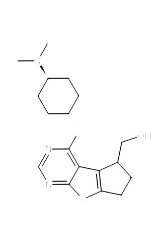 CN(C)[C@H]1CC[C@H](Oc2ncnc3sc4c(c23)C(CO)CC4)CC1